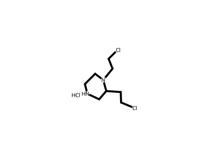 Cl.ClCCC1CNCCN1CCCl